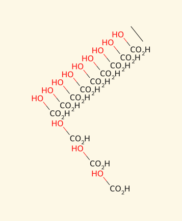 CC.O=C(O)O.O=C(O)O.O=C(O)O.O=C(O)O.O=C(O)O.O=C(O)O.O=C(O)O.O=C(O)O.O=C(O)O.O=C(O)O.O=C(O)O.O=C(O)O